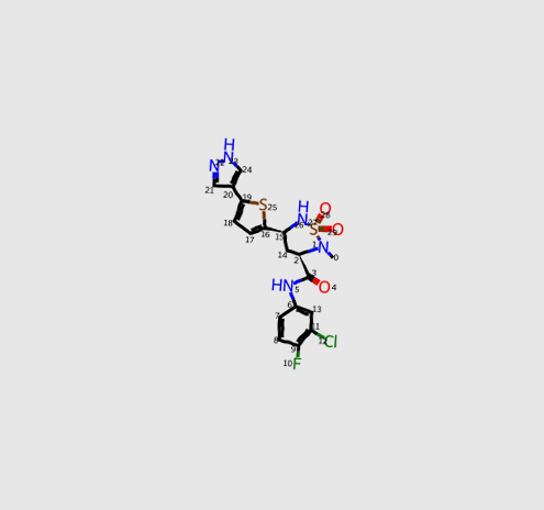 CN1[C@@H](C(=O)Nc2ccc(F)c(Cl)c2)C[C@@H](c2ccc(-c3cn[nH]c3)s2)NS1(=O)=O